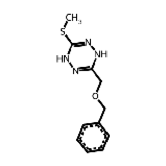 CSC1=NNC(COCc2ccccc2)=NN1